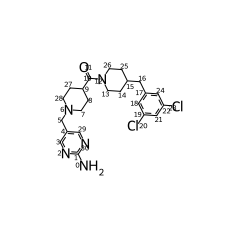 Nc1ncc(CN2CCC(C(=O)N3CCC(Cc4cc(Cl)cc(Cl)c4)CC3)CC2)cn1